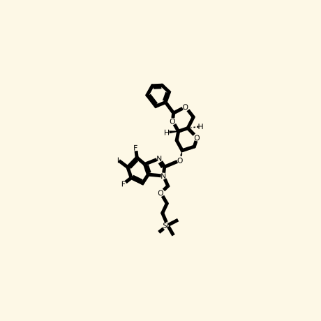 C[Si](C)(C)CCOCn1c(O[C@H]2CO[C@@H]3COC(c4ccccc4)O[C@H]3C2)nc2c(F)c(I)c(F)cc21